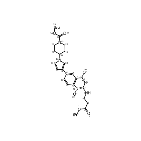 CC(C)OC(=O)CCNc1n[n+]([O-])c2cc(-c3cnn(C4CCN(C(=O)OC(C)(C)C)CC4)c3)ccc2[n+]1[O-]